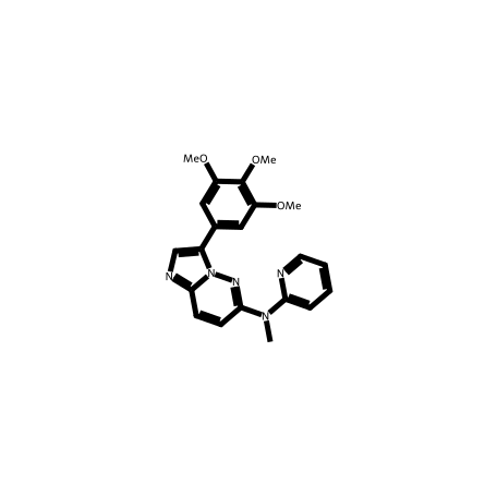 COc1cc(-c2cnc3ccc(N(C)c4ccccn4)nn23)cc(OC)c1OC